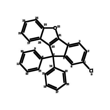 Clc1ccc2c(c1)C(c1ccccc1)(c1ccccc1)c1c-2oc2ccccc12